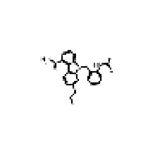 CCCc1c[c]c2c3c(C(N)=O)cccc3n(Cc3ccccc3NC(C)=O)c2c1